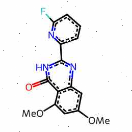 COc1cc(OC)c2c(=O)[nH]c(-c3cccc(F)n3)nc2c1